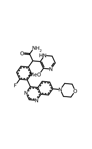 COC1=C(C(C(N)=O)c2ccc(F)c(-c3ncnc4cc(N5CCOCC5)ccc34)c2)NCC=N1